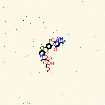 CCC(OCCOC)(Oc1ncccc1Sc1cc(-n2c(=O)cc(C(F)(F)F)n(N)c2=O)c(F)cc1Cl)C(=O)O